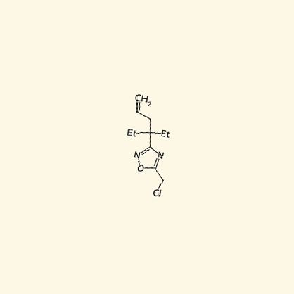 C=CCC(CC)(CC)c1noc(CCl)n1